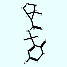 C=C1CC=C(Cl)C=C1C(C)(C)NC(=O)C1C2CNCC21C